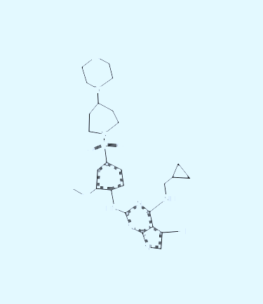 COc1cc(S(=O)(=O)N2CCC(N3CCOCC3)CC2)ccc1Nc1nc(NCC2CC2)c2c(Cl)c[nH]c2n1